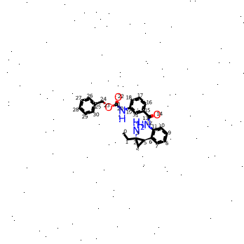 CC[C@]1(N)C[C@@H]1c1ccccc1NC(=O)c1cccc(NC(=O)OCc2ccccc2)c1